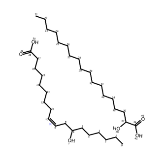 CCCCCCC(O)C/C=C\CCCCCCCC(=O)O.CCCCCCCCCCCCCCCCC(O)C(=O)O